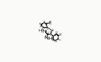 N=C(N)[C](Cc1ccccc1F)c1ccccc1